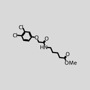 COC(=O)CCCCNC(=O)COc1ccc(Cl)c(Cl)c1